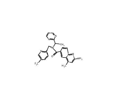 Cc1cc(N)nc2ccc(C(=O)N(Cc3ccc(C(F)(F)F)cn3)C(C)c3ncccn3)cc12